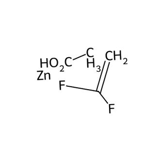 C=C(F)F.CC(=O)O.[Zn]